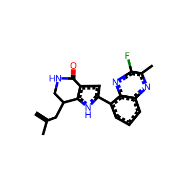 C=C(C)CC1CNC(=O)c2cc(-c3cccc4nc(C)c(F)nc34)[nH]c21